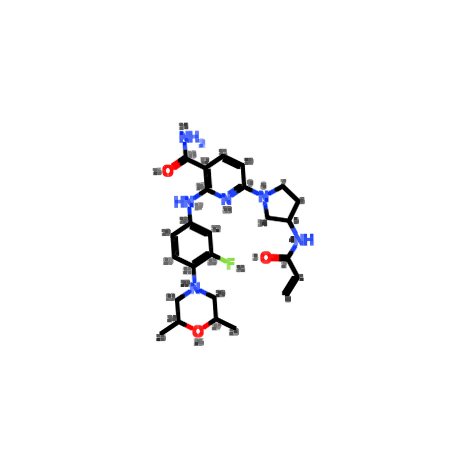 C=CC(=O)NC1CCN(c2ccc(C(N)=O)c(Nc3ccc(N4CC(C)OC(C)C4)c(F)c3)n2)C1